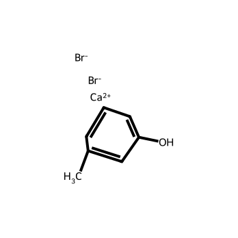 Cc1cccc(O)c1.[Br-].[Br-].[Ca+2]